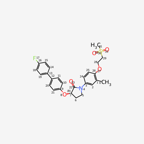 Cc1cc(N2CC[C@@H](Oc3ccc(-c4ccc(F)cc4)cc3)C2=O)ccc1OCCS(C)(=O)=O